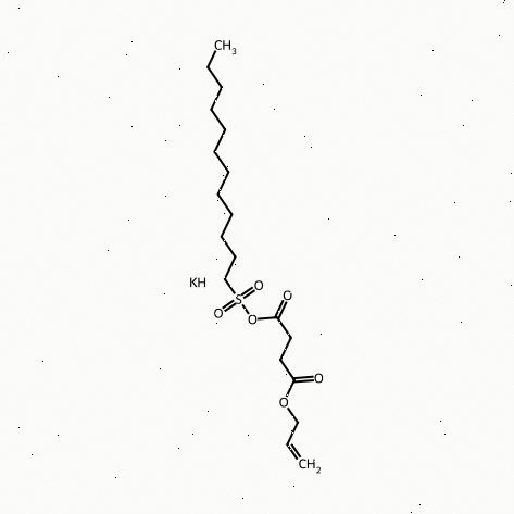 C=CCOC(=O)CCC(=O)OS(=O)(=O)CCCCCCCCCCCC.[KH]